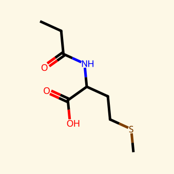 CCC(=O)NC(CCSC)C(=O)O